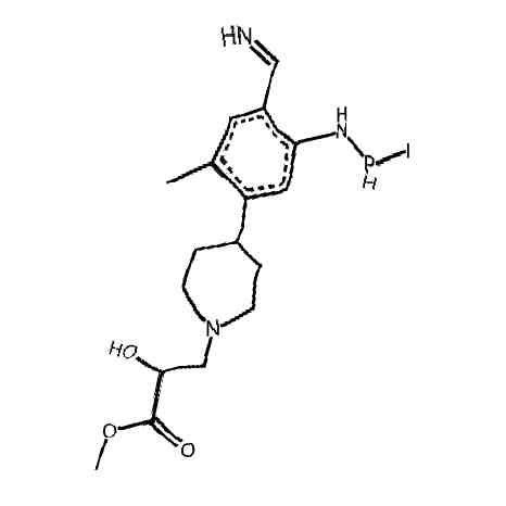 COC(=O)C(O)CN1CCC(c2cc(NPI)c(C=N)cc2C)CC1